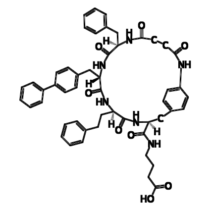 O=C(O)CCCNC(=O)[C@@H]1Cc2ccc(cc2)NC(=O)CCC(=O)N[C@H](Cc2ccccc2)C(=O)N[C@@H](Cc2ccc(-c3ccccc3)cc2)C(=O)N[C@H](CCc2ccccc2)C(=O)N1